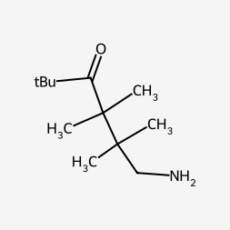 CC(C)(C)C(=O)C(C)(C)C(C)(C)CN